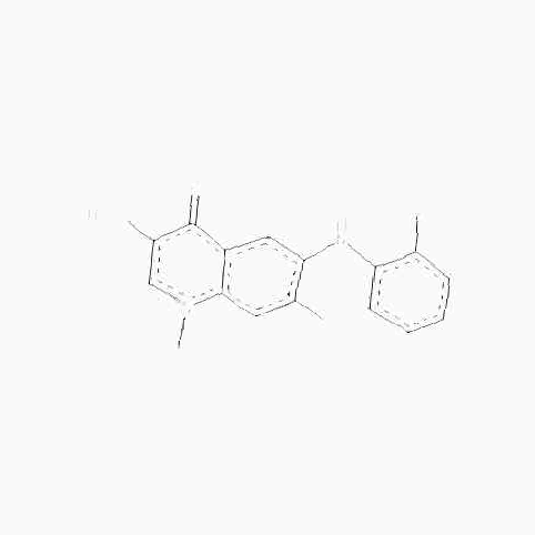 CCc1ccccc1Nc1cc2c(=O)c(C(=O)O)cn(CC)c2cc1Cl